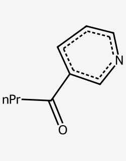 C[CH]CC(=O)c1cccnc1